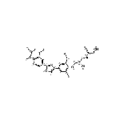 CCc1cc(-c2nc(-c3cc(C)c(OC[C@@H](O)CNC(=O)CO)c(CC)c3)no2)cnc1N(C)C(C)C